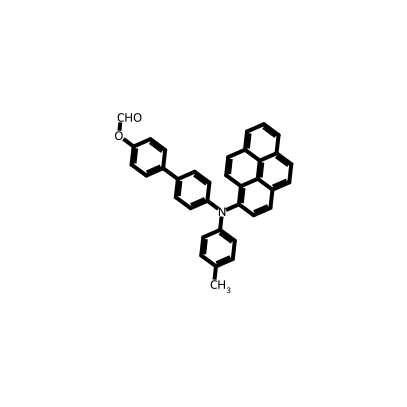 Cc1ccc(N(c2ccc(-c3ccc(OC=O)cc3)cc2)c2ccc3ccc4cccc5ccc2c3c45)cc1